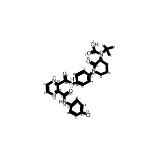 CC(C)(C)N(C(=O)O)C1CCCN(c2ccc(NC(=O)c3nccnc3C(=O)Nc3ccc(Cl)cc3)cc2)C1=O